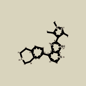 Cc1nn(C)c(C)c1-c1nc2c(-c3ccc4c(c3)CCCCC4)ccnc2[nH]1